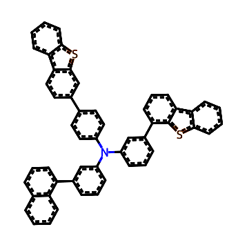 c1cc(-c2cccc3ccccc23)cc(N(c2ccc(-c3ccc4c(c3)sc3ccccc34)cc2)c2cccc(-c3cccc4c3sc3ccccc34)c2)c1